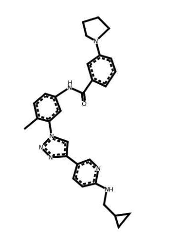 Cc1ccc(NC(=O)c2cccc(N3CCCC3)c2)cc1-n1cc(-c2ccc(NCC3CC3)nc2)nn1